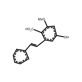 COc1cc(O)cc(C=Cc2ccccc2)c1C(=O)O